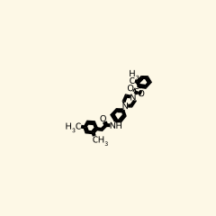 Cc1ccc(CC(=O)Nc2ccc(N3CCN(S(=O)(=O)c4ccccc4C)CC3)cc2)c(C)c1